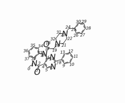 CN1C(=O)c2cnc(-c3ccccc3)nc2N(C(=O)CN2CCN(Cc3ccccc3)CC2)c2ccccc21